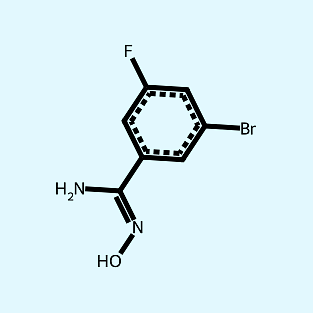 NC(=NO)c1cc(F)cc(Br)c1